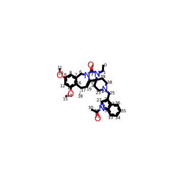 CCN1C(=O)N2Cc3cc(OC)cc(OC)c3[C@@H](C)C=C2C12CCN(Cc1cn(C(C)=O)c3ccccc13)CC2